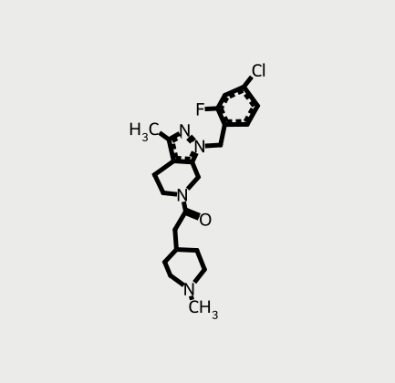 Cc1nn(Cc2ccc(Cl)cc2F)c2c1CCN(C(=O)CC1CCN(C)CC1)C2